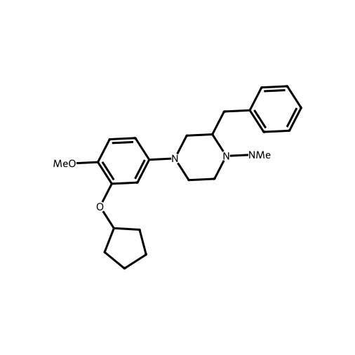 CNN1CCN(c2ccc(OC)c(OC3CCCC3)c2)CC1Cc1ccccc1